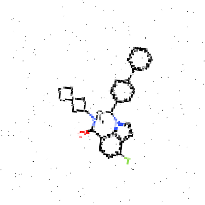 CC(c1ccc(-c2ccccc2)cc1)n1ccc2c(F)ccc(C(=O)NC3CC4(CCC4)C3)c21